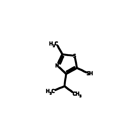 Cc1nc(C(C)C)c(S)s1